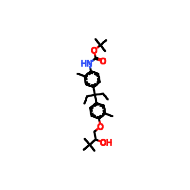 CCC(CC)(c1ccc(NC(=O)OC(C)(C)C)c(C)c1)c1ccc(OCC(O)C(C)(C)C)c(C)c1